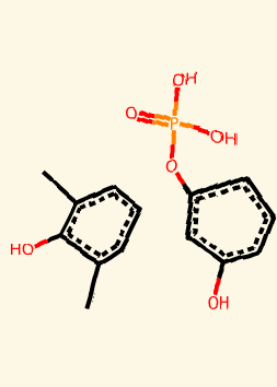 Cc1cccc(C)c1O.O=P(O)(O)Oc1cccc(O)c1